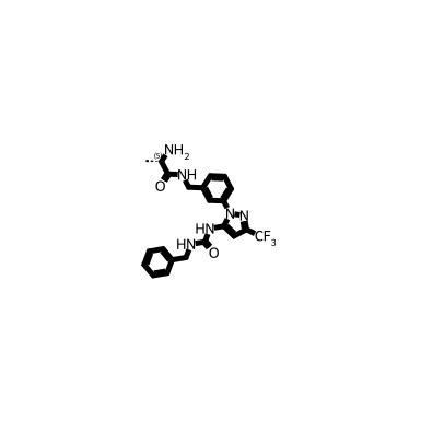 C[C@H](N)C(=O)NCc1cccc(-n2nc(C(F)(F)F)cc2NC(=O)NCc2ccccc2)c1